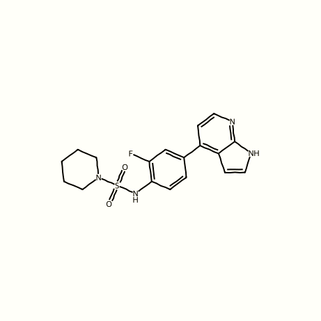 O=S(=O)(Nc1ccc(-c2ccnc3[nH]ccc23)cc1F)N1CCCCC1